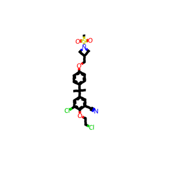 CC(C)(c1ccc(OCC2CN(S(C)(=O)=O)C2)cc1)c1cc(Cl)c(OCCCl)c(C#N)c1